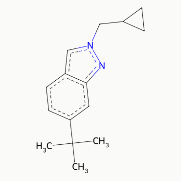 CC(C)(C)c1ccc2cn(CC3CC3)nc2c1